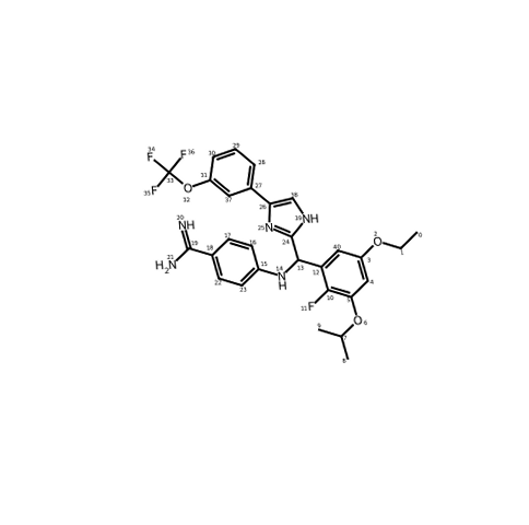 CCOc1cc(OC(C)C)c(F)c(C(Nc2ccc(C(=N)N)cc2)c2nc(-c3cccc(OC(F)(F)F)c3)c[nH]2)c1